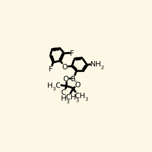 CC1(C)OB(c2cc(N)ccc2Oc2c(F)cccc2F)OC1(C)C